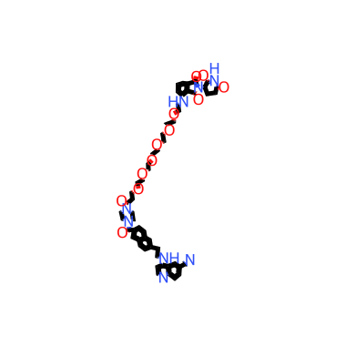 N#Cc1ccc2nccc(NCCc3ccc4cc(C(=O)N5CCN(C(=O)CCOCCOCCOCCOCCOCCOCCNc6cccc7c6C(=O)N(C6CCC(=O)NC6=O)C7=O)CC5)ccc4c3)c2c1